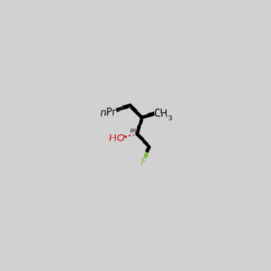 CCCCC(C)[C@@H](O)CF